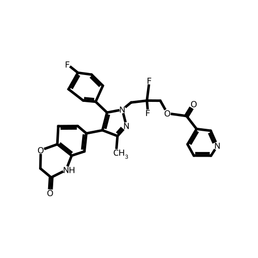 Cc1nn(CC(F)(F)COC(=O)c2cccnc2)c(-c2ccc(F)cc2)c1-c1ccc2c(c1)NC(=O)CO2